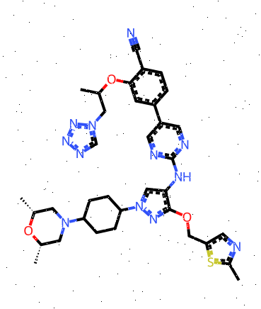 Cc1ncc(COc2nn(C3CCC(N4C[C@@H](C)O[C@@H](C)C4)CC3)cc2Nc2ncc(-c3ccc(C#N)c(OC(C)Cn4cnnn4)c3)cn2)s1